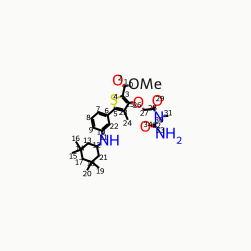 COC(=O)c1sc(-c2cccc(NC3CC(C)(C)CC(C)(C)C3)c2)c(C)c1OCC(=O)N(C)C(N)=O